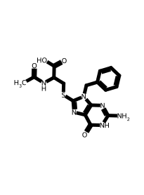 CC(=O)NC(CSc1nc2c(=O)[nH]c(N)nc2n1Cc1ccccc1)C(=O)O